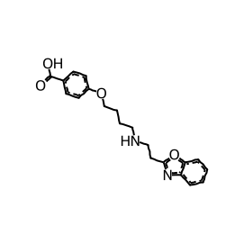 O=C(O)c1ccc(OCCCCNCCc2nc3ccccc3o2)cc1